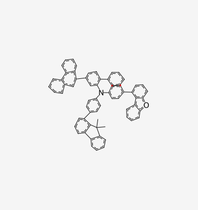 CC1(C)c2ccccc2-c2cccc(-c3ccc(N(c4ccc(-c5cccc6oc7ccccc7c56)cc4)c4cc(-c5cc6ccccc6c6ccccc56)ccc4-c4ccccc4)cc3)c21